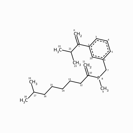 C=C(c1cccc(CP(C)C(=C)CCCCCC(C)C)c1)C(C)C